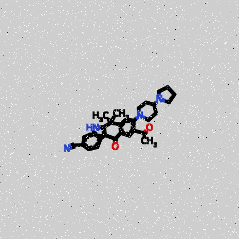 CC(=O)c1cc2c(cc1N1CCC(N3CCCC3)CC1)C(C)(C)c1[nH]c3cc(C#N)ccc3c1C2=O